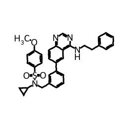 COc1ccc(S(=O)(=O)N(Cc2cccc(-c3ccc4ncnc(NCCc5ccccc5)c4c3)c2)C2CC2)cc1